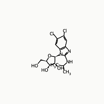 CC(C)Nc1nc2cc(Cl)c(Cl)cc2n1[C@@H]1O[C@H](CO)[C@H](O)[C@@H]1O